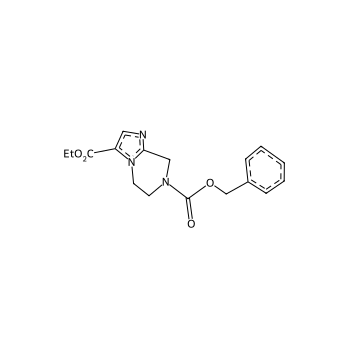 CCOC(=O)c1cnc2n1CCN(C(=O)OCc1ccccc1)C2